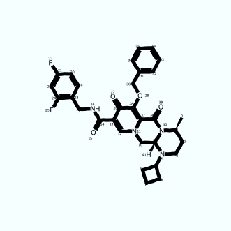 C[C@H]1CCN(C2CCC2)[C@@H]2Cn3cc(C(=O)NCc4ccc(F)cc4F)c(=O)c(OCc4ccccc4)c3C(=O)N12